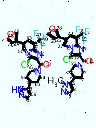 Cn1nccc1C1=CCN(C(=O)c2nc3c(C(F)(F)F)cc(-c4ccoc4)cn3c2Cl)CC1.O=C(c1nc2c(C(F)(F)F)cc(-c3ccoc3)cn2c1Cl)N1CC=C(c2ccn[nH]2)CC1